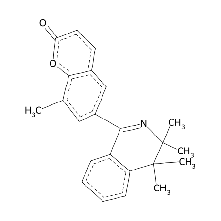 Cc1cc(C2=NC(C)(C)C(C)(C)c3ccccc32)cc2ccc(=O)oc12